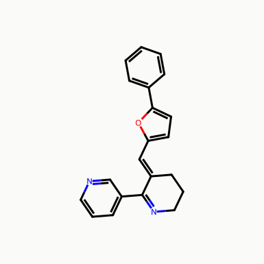 C(=C1CCCN=C1c1cccnc1)c1ccc(-c2ccccc2)o1